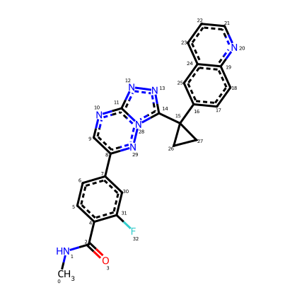 CNC(=O)c1ccc(-c2cnc3nnc(C4(c5ccc6ncccc6c5)CC4)n3n2)cc1F